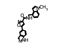 Cn1ccc2c(CNC(=O)c3cc(-c4ccc5[nH]ncc5c4)on3)cccc21